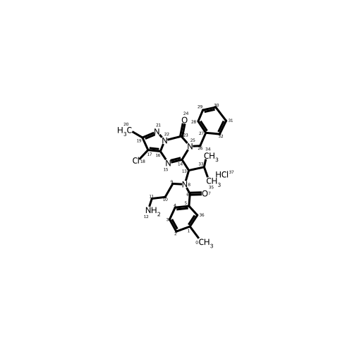 Cc1cccc(C(=O)N(CCCN)C(c2nc3c(Cl)c(C)nn3c(=O)n2Cc2ccccc2)C(C)C)c1.Cl